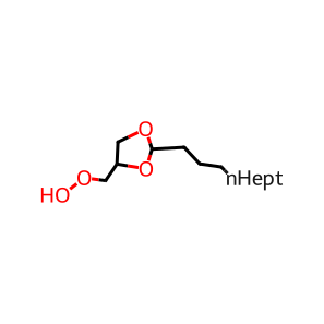 CCCCCCCCCCC1OCC(COO)O1